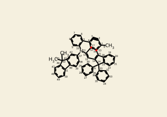 Cc1c#cc(-c2ccccc2N(C2=CC3=C(CC2)c2ccccc2C3(c2ccccc2)c2ccccc2)c2ccc3c(c2)C(C)(C)c2ccccc2-3)cc1